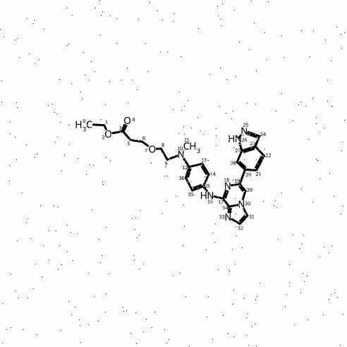 CCOC(=O)CCOCCN(C)c1ccc(Nc2nc(-c3ccc4cn[nH]c4c3)cn3ccnc23)cc1